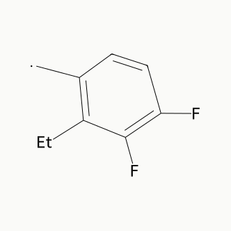 [CH2]c1ccc(F)c(F)c1CC